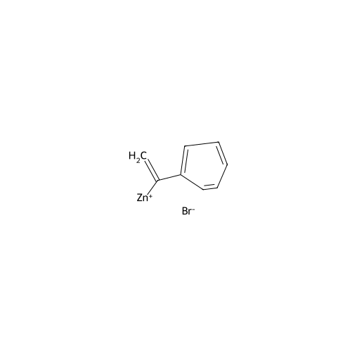 C=[C]([Zn+])c1ccccc1.[Br-]